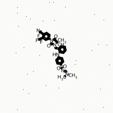 CN(C)/C=N/S(=O)(=O)c1ccc(Nc2ccccc2CN2C(=O)N(c3ccc(C#N)c(C(F)(F)F)c3)C(=O)C2(C)C)cc1